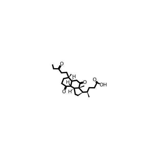 CCC(=O)CC[C@@]1(C)CCC(=O)[C@@H]2[C@@H]1CC(=O)[C@]1(C)[C@@H]([C@H](C)CCC(=O)O)CC[C@@H]21